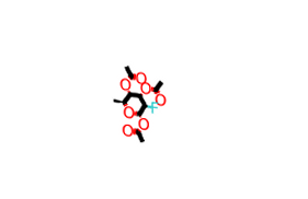 CC(=O)O[C@@H]1O[C@@H](C)[C@@H](OC(C)=O)[C@@H](OC(C)=O)[C@H]1F